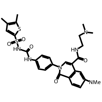 CNc1ccc2c(=O)n(-c3ccc(NC(=O)NS(=O)(=O)c4cc(C)c(C)s4)cc3)cc(C(=O)NCCN(C)C)c2c1